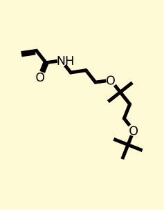 C=CC(=O)NCCCOC(C)(C)CCOC(C)(C)C